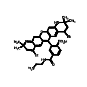 CCC1=CC(C)(C)N=c2cc3c(cc21)=C(c1cc(C(=O)NCCN)ccc1C(=O)O)c1cc2c(cc1O3)NC(C)(C)CC2CC